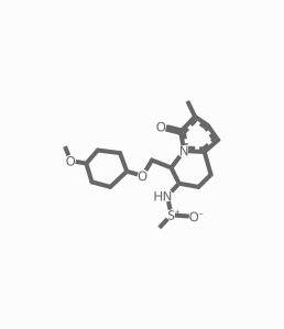 COC1CCC(OCC2C(N[S+](C)[O-])CCc3ccc(C)c(=O)n32)CC1